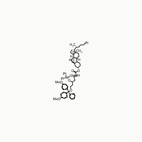 COc1ccc(C(OCCC(CCNC(=O)O[C@H]2CC[C@@]3(C)C(=CC[C@H]4[C@@H]5CC[C@H]([C@H](C)CCCC(C)C)[C@@]5(C)CC[C@@H]43)C2)OP(OC)N(C(C)C)C(C)C)(c2ccccc2)c2ccc(OC)cc2)cc1